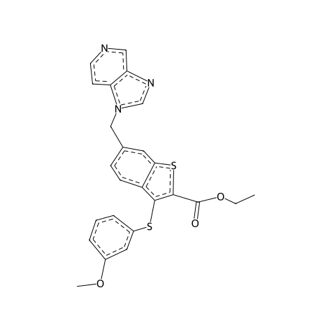 CCOC(=O)c1sc2cc(Cn3cnc4cnccc43)ccc2c1Sc1cccc(OC)c1